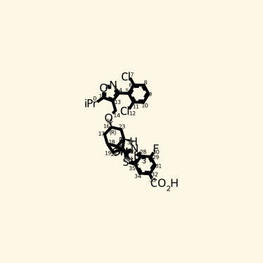 CC(C)c1onc(-c2c(Cl)cccc2Cl)c1CO[C@@H]1CC2C[C@H](C)[C@@H](C1)[C@]2(O)c1nc2c(F)cc(C(=O)O)cc2s1